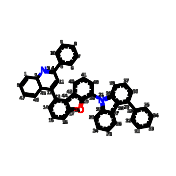 C1=CC2N=C(c3ccccc3)C=C(c3cccc4oc5c(-n6c7ccccc7c7c(-c8ccccc8)cccc76)cccc5c34)C2C=C1